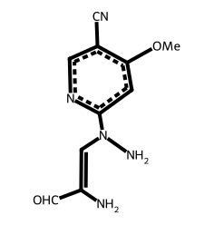 COc1cc(N(N)/C=C(\N)C=O)ncc1C#N